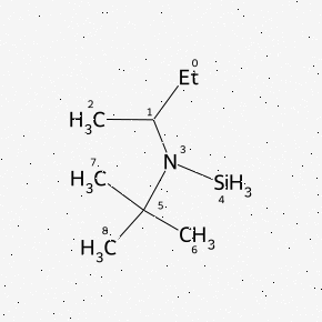 CCC(C)N([SiH3])C(C)(C)C